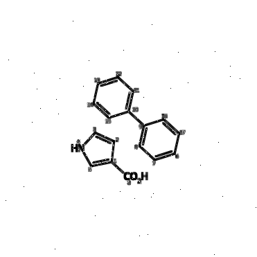 O=C(O)c1cc[nH]c1.c1ccc(-c2ccccc2)cc1